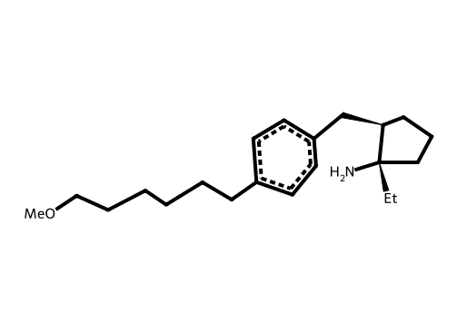 CC[C@]1(N)CCC[C@@H]1Cc1ccc(CCCCCCOC)cc1